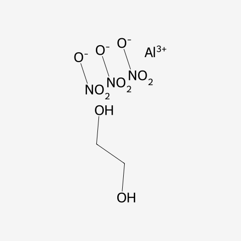 O=[N+]([O-])[O-].O=[N+]([O-])[O-].O=[N+]([O-])[O-].OCCO.[Al+3]